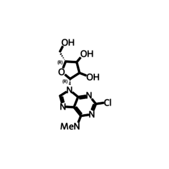 CNc1nc(Cl)nc2c1ncn2[C@@H]1O[C@H](CO)C(O)C1O